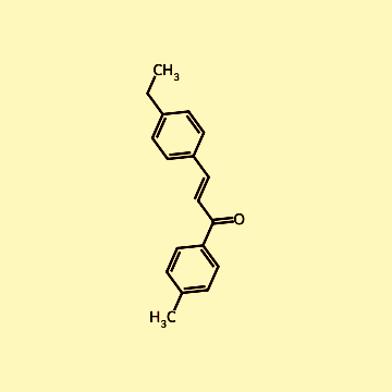 CCc1ccc(/C=C/C(=O)c2ccc(C)cc2)cc1